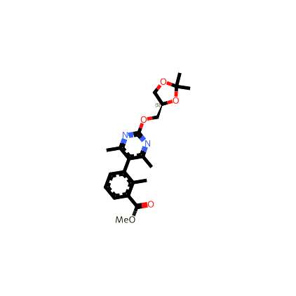 COC(=O)c1cccc(-c2c(C)nc(OC[C@H]3COC(C)(C)O3)nc2C)c1C